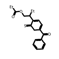 CCC(=O)OCC(CC)C1=CC=C(C(=O)c2ccccc2)CC1=S